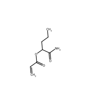 C=CC(=O)OC(CCC)C(N)=O